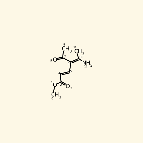 COC(=O)/C=C/C(C(C)=O)=C(/C)N